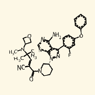 CN(C1COC1)C(C)(C)C=C(C#N)C(=O)N1CCC[C@@H](n2nc(-c3ccc(Oc4ccccc4)cc3F)c3c(N)ncnc32)C1